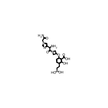 NC(=O)Cn1cnc(C(N)C(=O)N2CC(Oc3ccc(CCB(O)O)c(O)c3C(=O)O)C2)c1